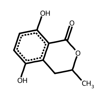 CC1Cc2c(O)ccc(O)c2C(=O)O1